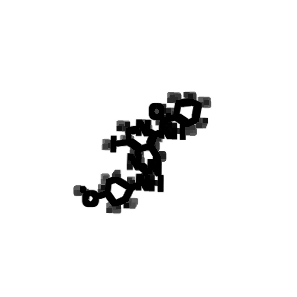 COC1CCC(Nc2ncc3c(NC(=O)c4ccccc4)ncc(I)c3n2)CC1